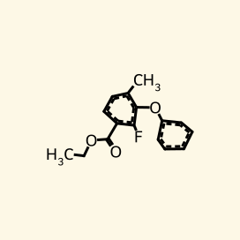 CCOC(=O)c1ccc(C)c(Oc2ccccc2)c1F